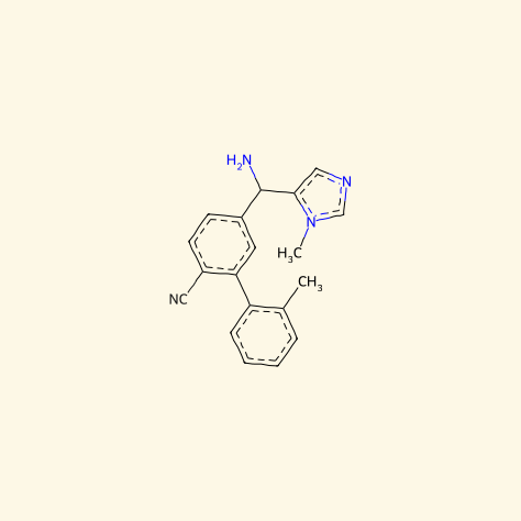 Cc1ccccc1-c1cc(C(N)c2cncn2C)ccc1C#N